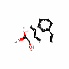 C=CC=C.C=Cc1ccccc1.O=C(O)CO